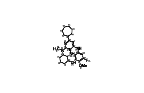 COc1ccc(NC2=NC(C3CCCCCC3)=NC(N(C)C3CCCC(O)C3)N2N)cc1F